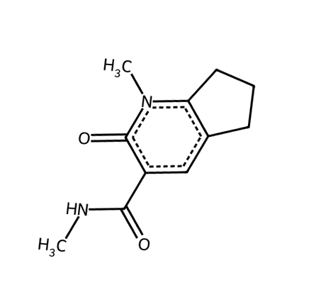 CNC(=O)c1cc2c(n(C)c1=O)CCC2